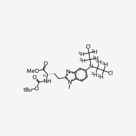 [2H]C([2H])(Cl)C([2H])([2H])N(c1ccc2c(c1)nc(CC[C@H](NC(=O)OC(C)(C)C)C(=O)OC)n2C)C([2H])([2H])C([2H])([2H])Cl